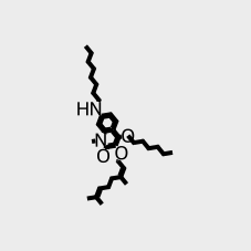 CCCCCCCCNc1ccc2c(OCCCCCC)c(OCC=C(C)CCC=C(C)C)c(=O)n(C)c2c1